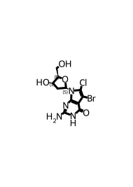 Nc1nc2c(c(Br)c(Cl)n2[C@@H]2C[C@H](O)[C@@H](CO)O2)c(=O)[nH]1